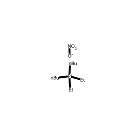 CCCC[P+](CC)(CC)CCCC.O=[N+]([O-])[O-]